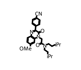 COc1ccc2nc(-c3ccc(C#N)cc3)c(=O)n(CC(=O)N(CCC(C)C)CCC(C)C)c2c1